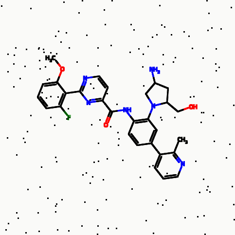 COc1cccc(F)c1-c1nccc(C(=O)Nc2ccc(-c3cccnc3C)cc2N2CC(N)CC2CO)n1